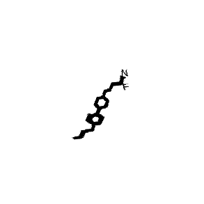 CCCCc1ccc(C2CCC(CCC=C(F)C#N)CC2)cc1